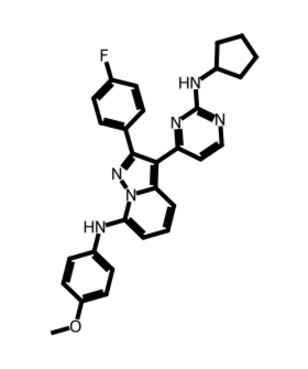 COc1ccc(Nc2cccc3c(-c4ccnc(NC5CCCC5)n4)c(-c4ccc(F)cc4)nn23)cc1